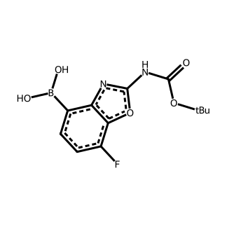 CC(C)(C)OC(=O)Nc1nc2c(B(O)O)ccc(F)c2o1